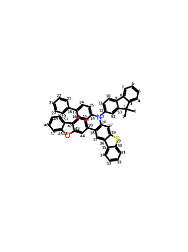 CC1(C)c2ccccc2-c2ccc(N(c3ccc(-c4ccccc4)cc3)c3cc4sc5ccccc5c4cc3-c3ccc4c(c3)oc3ccccc34)cc21